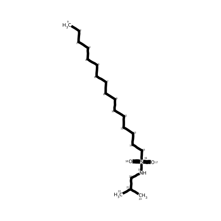 CCCCCCCCCCCCCCCCS(=O)(=O)NCC(C)C